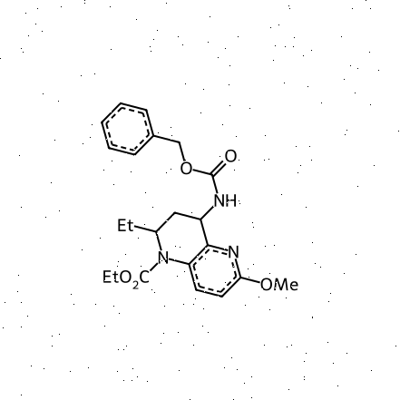 CCOC(=O)N1c2ccc(OC)nc2C(NC(=O)OCc2ccccc2)CC1CC